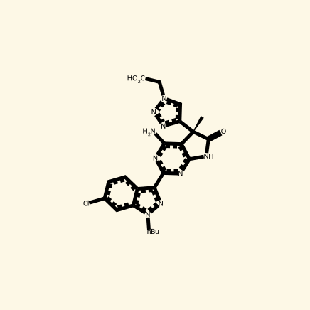 CCCCn1nc(-c2nc(N)c3c(n2)NC(=O)[C@@]3(C)c2cn(CC(=O)O)nn2)c2ccc(Cl)cc21